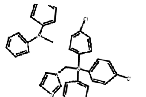 CB(c1ccccc1)c1ccccc1.Clc1ccc([Si](Cn2ccnc2)(c2ccccc2)c2ccc(Cl)cc2)cc1